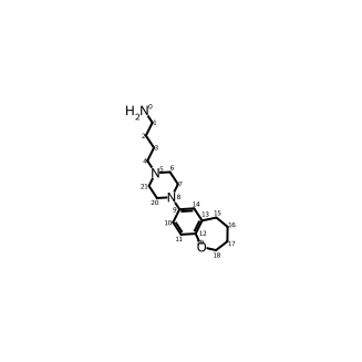 NCCCCN1CCN(c2ccc3c(c2)CCCCO3)CC1